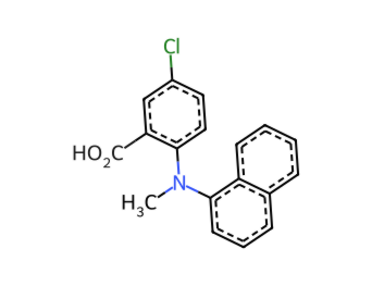 CN(c1ccc(Cl)cc1C(=O)O)c1cccc2ccccc12